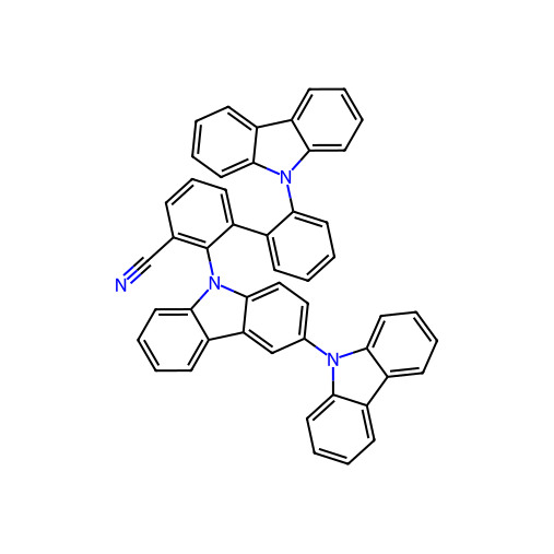 N#Cc1cccc(-c2ccccc2-n2c3ccccc3c3ccccc32)c1-n1c2ccccc2c2cc(-n3c4ccccc4c4ccccc43)ccc21